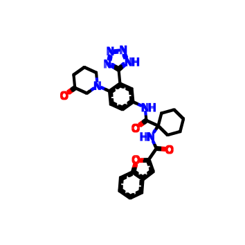 O=C1CCCN(c2ccc(NC(=O)C3(NC(=O)c4cc5ccccc5o4)CCCCC3)cc2-c2nnn[nH]2)C1